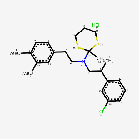 COc1ccc(CCN(CC(C)c2cccc(Cl)c2)C2(C)SCCCS2)cc1OC.Cl